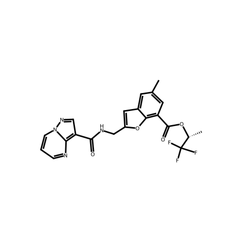 Cc1cc(C(=O)O[C@H](C)C(F)(F)F)c2oc(CNC(=O)c3cnn4cccnc34)cc2c1